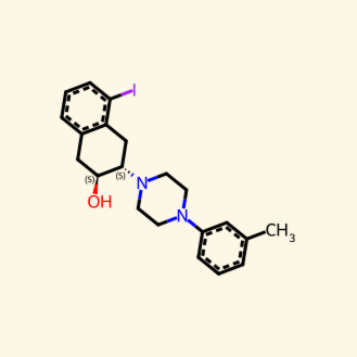 Cc1cccc(N2CCN([C@H]3Cc4c(I)cccc4C[C@@H]3O)CC2)c1